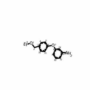 CCOCc1ccc(Oc2cccc(N)c2)cc1